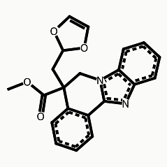 COC(=O)C1(CC2OC=CO2)Cn2c(nc3ccccc32)-c2ccccc21